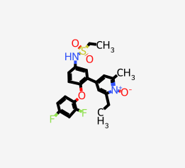 CCc1cc(-c2cc(NS(=O)(=O)CC)ccc2Oc2ccc(F)cc2F)cc(C)[n+]1[O-]